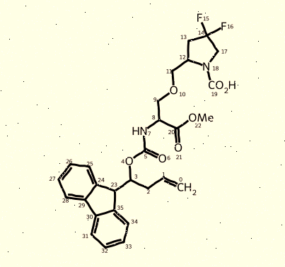 C=CCC(OC(=O)NC(COCC1CC(F)(F)CN1C(=O)O)C(=O)OC)C1c2ccccc2-c2ccccc21